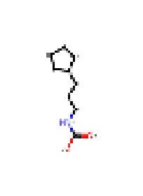 [O]C(=O)NCCCC1CCCC1